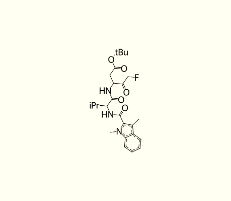 Cc1c(C(=O)N[C@H](C(=O)NC(CC(=O)OC(C)(C)C)C(=O)CF)C(C)C)n(C)c2ccccc12